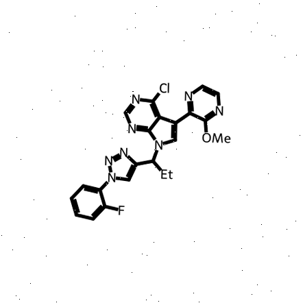 CCC(c1cn(-c2ccccc2F)nn1)n1cc(-c2nccnc2OC)c2c(Cl)ncnc21